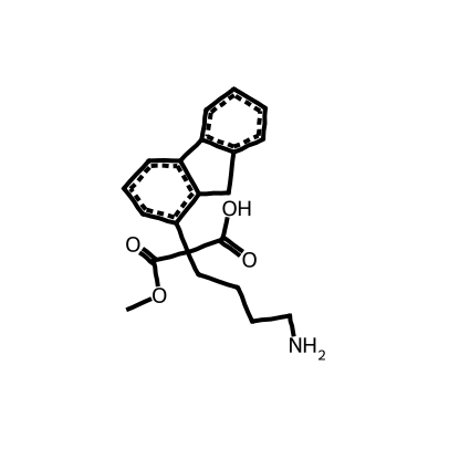 COC(=O)C(CCCCN)(C(=O)O)c1cccc2c1Cc1ccccc1-2